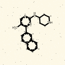 Cc1cnc(NC2CCNCC2)nc1-c1ccc2ccccc2c1